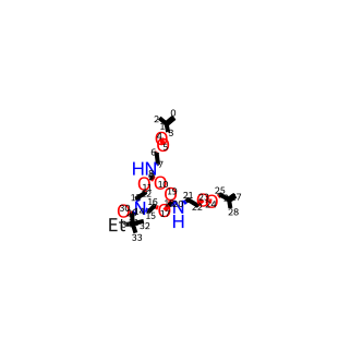 C=C(C)COOCCNC(=O)OCCN(CCOC(=O)NCCOOCC(=C)C)C(=O)C(C)(C)CC